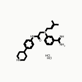 CC(C)=CCN(CC(=O)Nc1ccc(C2CCNCC2)cc1)c1cccc(C(=N)N)c1.Cl.Cl